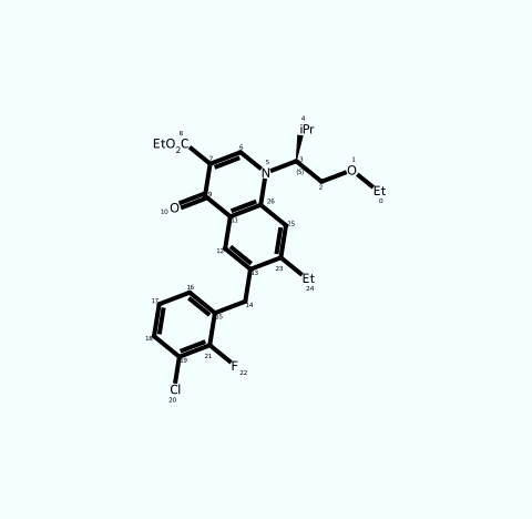 CCOC[C@H](C(C)C)n1cc(C(=O)OCC)c(=O)c2cc(Cc3cccc(Cl)c3F)c(CC)cc21